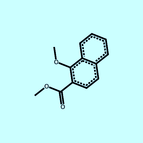 COC(=O)c1ccc2ccccc2c1OC